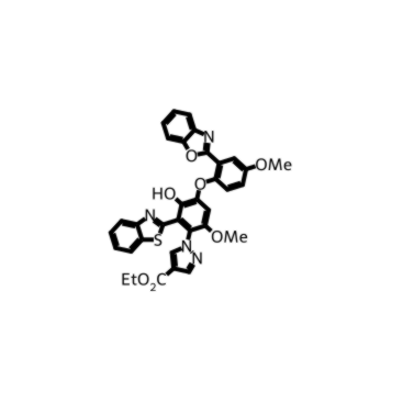 CCOC(=O)c1cnn(-c2c(OC)cc(Oc3ccc(OC)cc3-c3nc4ccccc4o3)c(O)c2-c2nc3ccccc3s2)c1